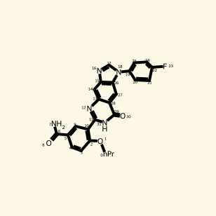 CCCOc1ccc(C(N)=O)cc1-c1nc2cc3ncn(-c4ccc(F)cc4)c3cc2c(=O)[nH]1